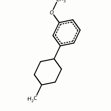 [CH2]C1CCC(c2cccc(OC)c2)CC1